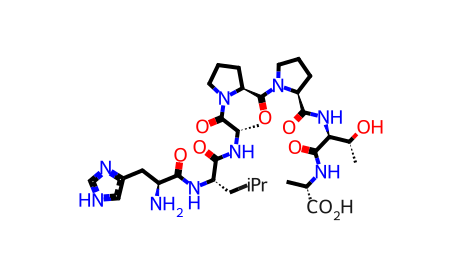 CC(C)C[C@H](NC(=O)[C@@H](N)Cc1c[nH]cn1)C(=O)N[C@@H](C)C(=O)N1CCC[C@H]1C(=O)N1CCC[C@H]1C(=O)N[C@H](C(=O)N[C@@H](C)C(=O)O)[C@@H](C)O